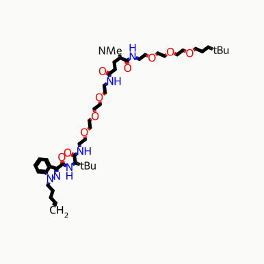 C=CCCCn1nc(C(=O)NC(C(=O)NCCOCCOCCOCCNC(=O)CCC(NC)C(=O)NCCOCCOCCOCCCC(C)(C)C)C(C)(C)C)c2ccccc21